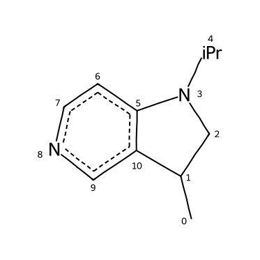 CC1CN(C(C)C)c2ccncc21